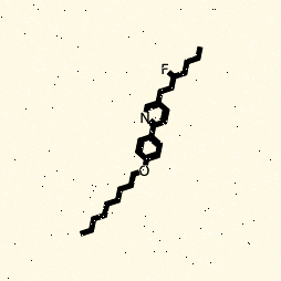 CCCCCCCCCOc1ccc(-c2ccc(CCC(F)CCCC)cn2)cc1